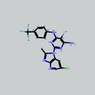 Cc1nc2ncc(Cl)cc2n1-c1nc(N)c(F)c(Nc2ccc(C(F)(F)F)cc2)n1